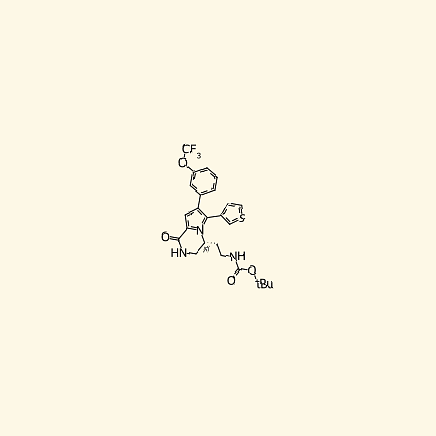 CC(C)(C)OC(=O)NCC[C@@H]1CNC(=O)c2cc(-c3cccc(OC(F)(F)F)c3)c(-c3ccsc3)n21